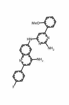 COc1ccccc1-c1cc(Nc2ccc3nc(-c4ccc(F)cc4)cc(N)c3c2)nc(N)n1